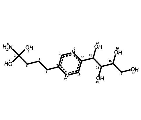 NC(O)(O)CCCc1cnc(C(O)C(O)C(O)CO)cn1